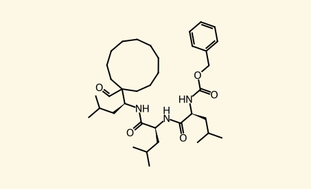 CC(C)C[C@H](NC(=O)OCc1ccccc1)C(=O)N[C@@H](CC(C)C)C(=O)N[C@@H](CC(C)C)C1(C=O)CCCCCCCCCC1